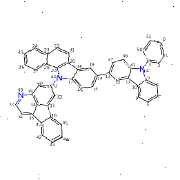 c1ccc(-n2c3ccccc3c3cc(-c4ccc5c(c4)c4ccc6ccccc6c4n5-c4cc5c6c(ccnc6c4)-c4ccccc4-5)ccc32)cc1